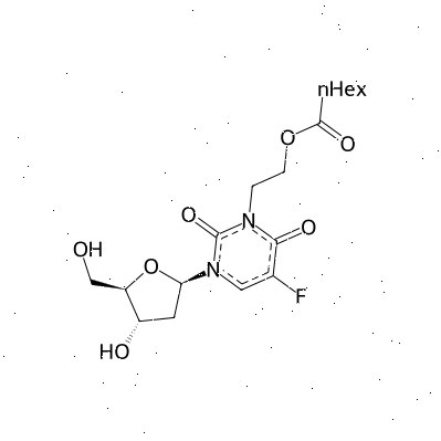 CCCCCCC(=O)OCCn1c(=O)c(F)cn([C@H]2C[C@H](O)[C@@H](CO)O2)c1=O